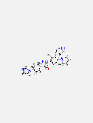 Cc1cc([N+]2(C3CCNC3)CCCC2C)ccc1NC(=O)c1ccc(-n2ccnc2)cc1